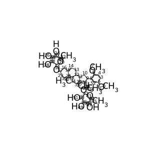 COc1ccc(OC)c(C2CC3C4CC=C5CC(OC6O[C@@H](C)[C@@H](O)[C@@H](O)[C@@H]6O)CCC5(C)C4CCC3(C)C2C(C)OC2O[C@@H](C)[C@@H](O)[C@@H](O)[C@@H]2O)c1